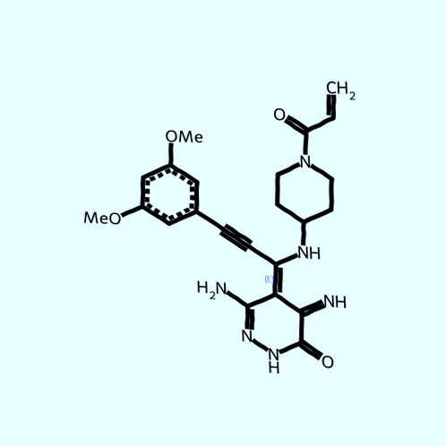 C=CC(=O)N1CCC(N/C(C#Cc2cc(OC)cc(OC)c2)=C2\C(=N)C(=O)NN=C2N)CC1